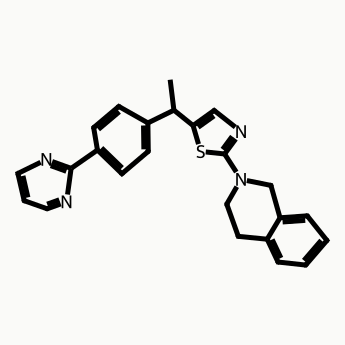 CC(c1ccc(-c2ncccn2)cc1)c1cnc(N2CCc3ccccc3C2)s1